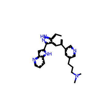 C=C(/C=c1/c(-c2cc3ncccc3[nH]2)n[nH]/c1=C/C)c1cncc(CCCN(C)C)c1